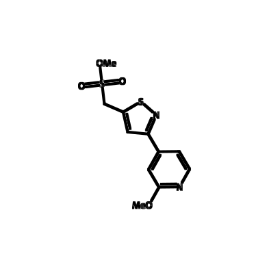 COc1cc(-c2cc(CS(=O)(=O)OC)sn2)ccn1